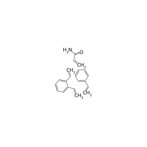 C=CC(N)=O.C=Cc1ccccc1.C=Cc1ccccc1C=C